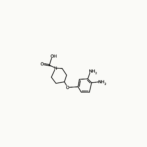 Nc1ccc(OC2CCN(C(=O)O)CC2)cc1N